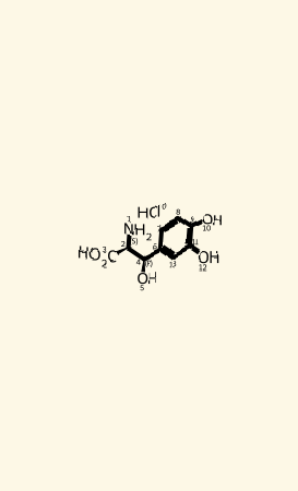 Cl.N[C@H](C(=O)O)[C@H](O)c1ccc(O)c(O)c1